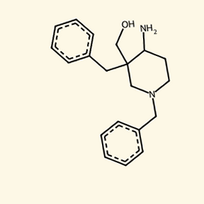 NC1CCN(Cc2ccccc2)CC1(CO)Cc1ccccc1